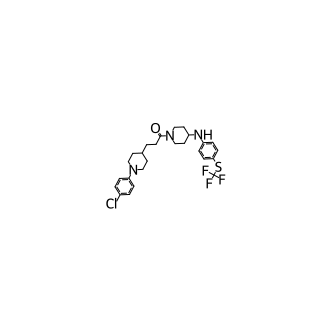 O=C(CCC1CCN(c2ccc(Cl)cc2)CC1)N1CCC(Nc2ccc(SC(F)(F)F)cc2)CC1